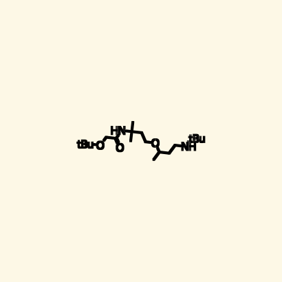 CC(CCNC(C)(C)C)OCCC(C)(C)NC(=O)COC(C)(C)C